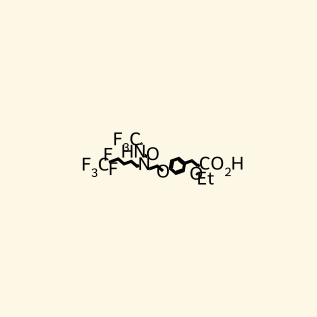 CCOC(Cc1ccc(OCCN(CCCCC(F)(F)C(F)(F)F)C(=O)NCC(F)(F)F)cc1)C(=O)O